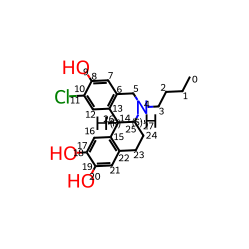 CCCCN1Cc2cc(O)c(Cl)cc2[C@H]2c3cc(O)c(O)cc3CC[C@@H]21